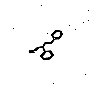 [CH]=CC(CCc1ccccc1)c1ccccc1